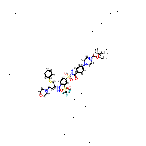 CC(C)(C)OC(=O)N1CCN(c2ccc(C(=O)NS(=O)(=O)c3ccc(NC(CCN4CCOCC4)CSc4ccccc4)c(S(=O)(=O)C(F)(F)F)c3)cc2)CC1